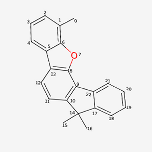 Cc1cccc2c1oc1c3c(ccc12)C(C)(C)c1ccccc1-3